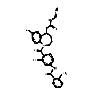 Cc1ccccc1C(=O)Nc1ccc(C(=O)N2CCCC(CC(=O)NC=C=O)c3cc(Cl)ccc32)c(C)c1